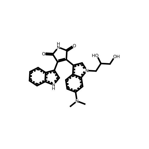 CN(C)c1ccc2c(C3=C(c4c[nH]c5ccccc45)C(=O)NC3=O)cn(CC(O)CO)c2c1